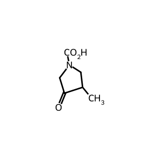 CC1CN(C(=O)O)CC1=O